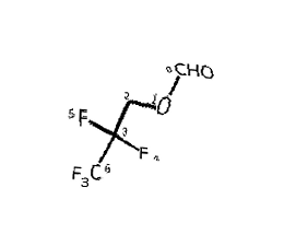 O=COCC(F)(F)C(F)(F)F